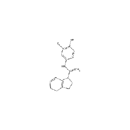 C=C(Nc1ccc(CCC)c(F)c1)C1CCC2=C1C=CCC2